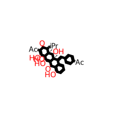 CC(=O)C1=C(O)[C@]2(O)C(O)=C3C(=O)c4c(O)cccc4/C(=C\c4ccc(C(C)=O)cc4)[C@]3(C)[C@@H](O)[C@]2(C)C(C(C)C)C1=O